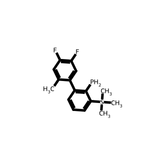 Cc1cc(F)c(F)cc1-c1cccc(S(C)(C)C)c1P